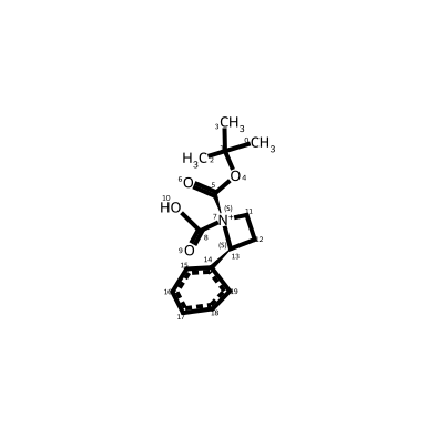 CC(C)(C)OC(=O)[N@@+]1(C(=O)O)CC[C@H]1c1ccccc1